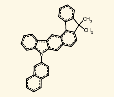 CC1(C)c2ccccc2-c2c1ccc1cc3c(cc21)c1ccccc1n3-c1ccc2ccccc2c1